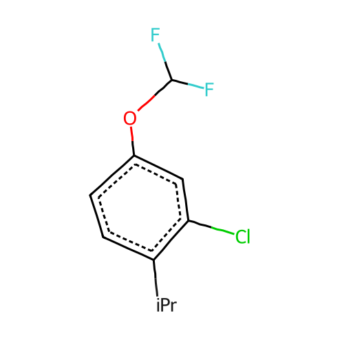 CC(C)c1ccc(OC(F)F)cc1Cl